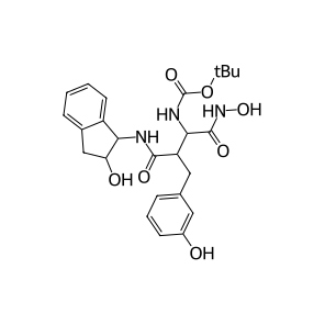 CC(C)(C)OC(=O)NC(C(=O)NO)C(Cc1cccc(O)c1)C(=O)NC1c2ccccc2CC1O